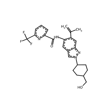 C=C(C)c1cc2nn(C3CCC(CO)CC3)cc2cc1NC(=O)c1cccc(C(F)(F)F)n1